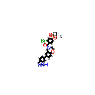 CS(=O)(=O)c1ccc(C(=O)N2CCOc3ccc(-c4ccc5cn[nH]c5c4)cc3C2)c(Br)c1